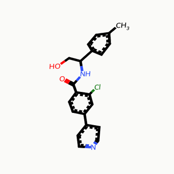 Cc1ccc(C(CO)NC(=O)c2ccc(-c3ccncc3)cc2Cl)cc1